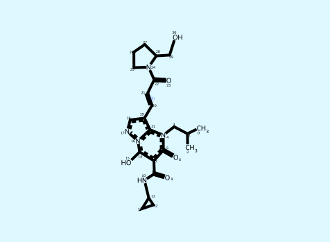 CC(C)Cn1c(=O)c(C(=O)NC2CC2)c(O)n2ncc(/C=C/C(=O)N3CCCC3CO)c12